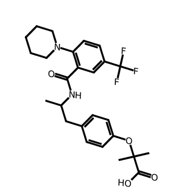 CC(Cc1ccc(OC(C)(C)C(=O)O)cc1)NC(=O)c1cc(C(F)(F)F)ccc1N1CCCCC1